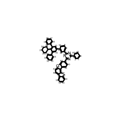 c1ccc(-c2nc(-c3cccc(-c4cc(-c5ccccc5)c(C5CCCCC5)c(-c5ccccc5)c4)c3)nc(-c3ccc4c(c3)oc3ccc5c6ccccc6sc5c34)n2)cc1